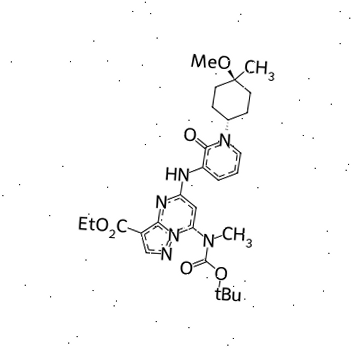 CCOC(=O)c1cnn2c(N(C)C(=O)OC(C)(C)C)cc(Nc3cccn([C@H]4CC[C@](C)(OC)CC4)c3=O)nc12